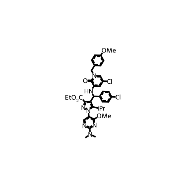 CCOC(=O)c1nn(-c2cnc(N(C)C)nc2OC)c(C(C)C)c1C(Nc1cc(Cl)cn(Cc2ccc(OC)cc2)c1=O)c1ccc(Cl)cc1